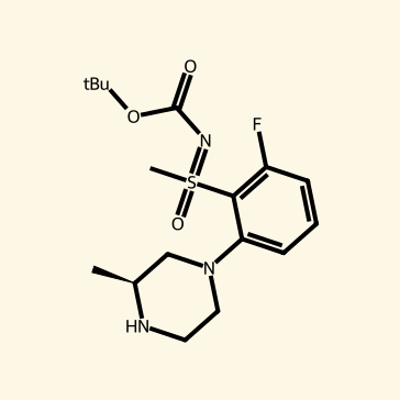 C[C@H]1CN(c2cccc(F)c2S(C)(=O)=NC(=O)OC(C)(C)C)CCN1